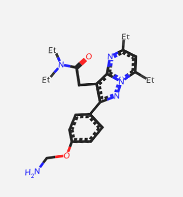 CCc1cc(CC)n2nc(-c3ccc(OCN)cc3)c(CC(=O)N(CC)CC)c2n1